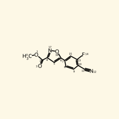 COC(=O)c1cc(-c2ccc(C#N)c(F)c2)on1